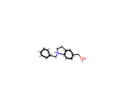 OCc1ccc2c(c1)CCN2Cc1ccccc1